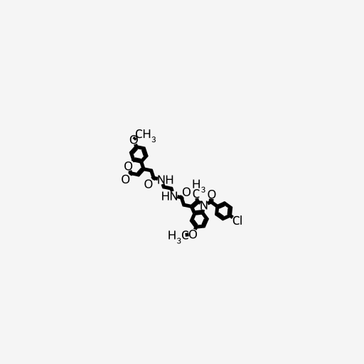 COc1ccc2c(CC(=O)NCCNC(=O)Cc3c(C)n(C(=O)c4ccc(Cl)cc4)c4ccc(OC)cc34)cc(=O)oc2c1